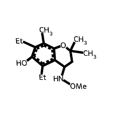 CCc1c(C)c2c(c(CC)c1O)C(NOC)CC(C)(C)O2